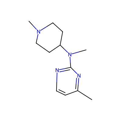 Cc1ccnc(N(C)C2CCN(C)CC2)n1